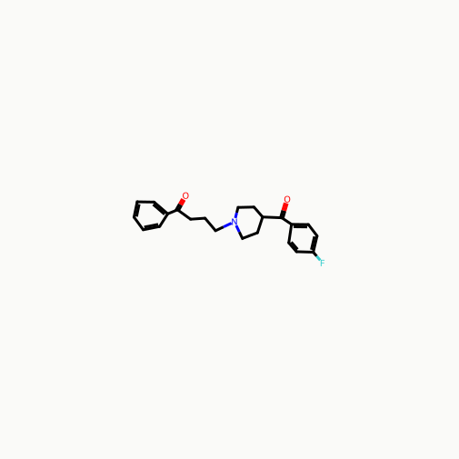 O=C(CCCN1CCC(C(=O)c2ccc(F)cc2)CC1)c1ccccc1